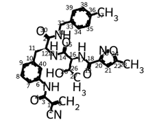 C=C(C#N)C(=O)Nc1cccc(C[C@H](NC(=O)[C@@H](NC(=O)c2cc(C)on2)[C@@H](C)O)C(=O)NCc2ccc(C)cc2)c1